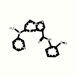 CCOc1ccccc1NC(=O)c1cnn2ccc(N(C)c3cccnc3)nc12